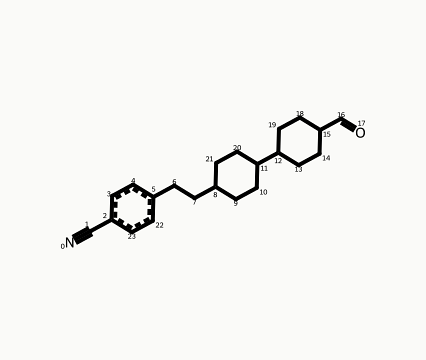 N#Cc1ccc(CCC2CCC(C3CCC(C=O)CC3)CC2)cc1